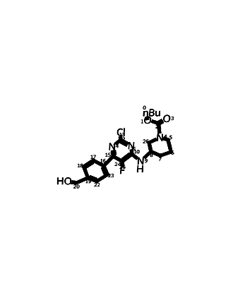 CCCCOC(=O)N1CCCC(Nc2nc(Cl)nc(-c3ccc(CO)cc3)c2F)C1